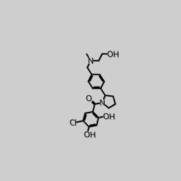 CN(CCO)Cc1ccc(C2CCCN2C(=O)c2cc(Cl)c(O)cc2O)cc1